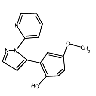 COc1ccc(O)c(-c2ccnn2-c2ccccn2)c1